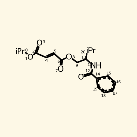 CC(C)OC(=O)/C=C/C(=O)OCC(NC(=O)c1ccccc1)C(C)C